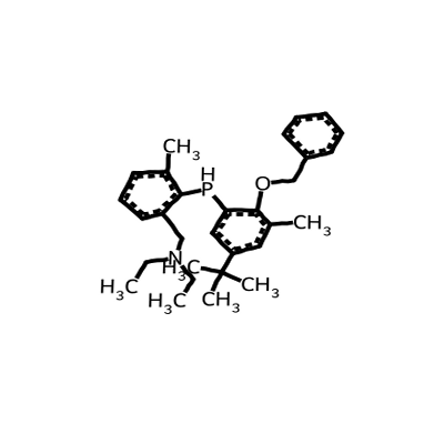 CCN(CC)Cc1cccc(C)c1Pc1cc(C(C)(C)C)cc(C)c1OCc1ccccc1